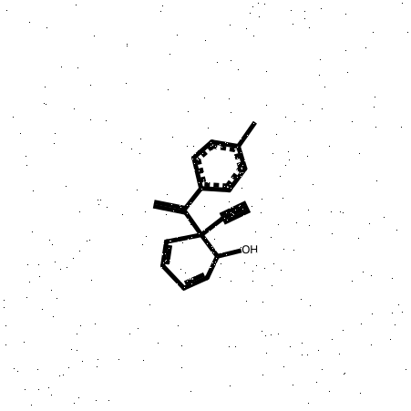 C#CC1(C(=C)c2ccc(C)cc2)C=CC=CC1O